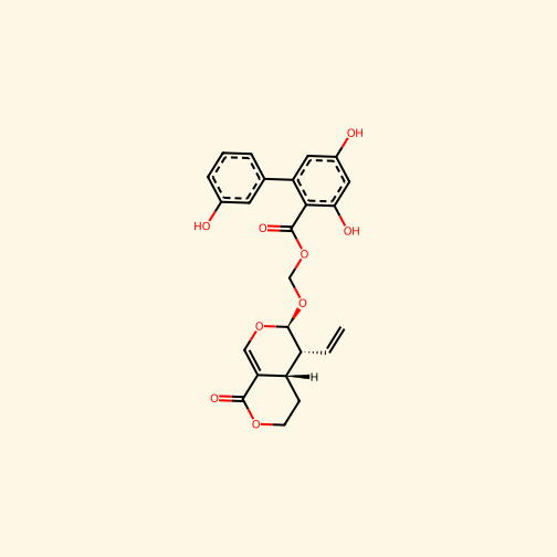 C=C[C@H]1[C@H](OCOC(=O)c2c(O)cc(O)cc2-c2cccc(O)c2)OC=C2C(=O)OCC[C@H]21